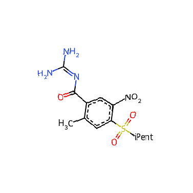 CCCC(C)S(=O)(=O)c1cc(C)c(C(=O)N=C(N)N)cc1[N+](=O)[O-]